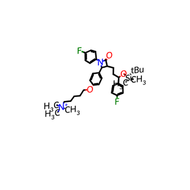 CC(C)(C)[Si](C)(C)OC(CCC1C(=O)N(c2ccc(F)cc2)C1c1ccc(OCCCCC[N+](C)(C)C)cc1)c1ccc(F)cc1